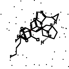 O=C(c1ccc(F)cc1Cl)N1C[C@H]2CC[C@@H](C1)N2c1cc(S(=O)(=O)NCCCF)cc2cnc(C3CC3)n12